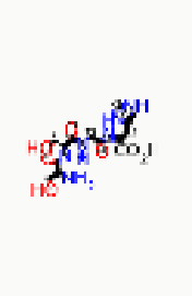 N[C@@H](CO)C(=O)N[C@@H](CO)C(=O)NCC(=O)N[C@@H](Cc1c[nH]cn1)C(=O)O